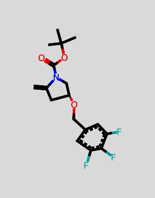 C=C1C[C@H](OCc2cc(F)c(F)c(F)c2)CN1C(=O)OC(C)(C)C